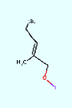 C/C(=C\CC(C)(C)C)COI